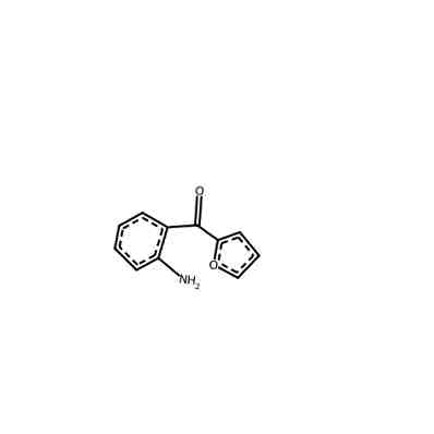 Nc1ccccc1C(=O)c1ccco1